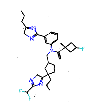 C=C(N(CC1CCC(CCC)(C2=NC(C(F)F)=NC2)C1)c1cccc(C2=NCC(CCC)=N2)c1)C1(C)CC(F)C1